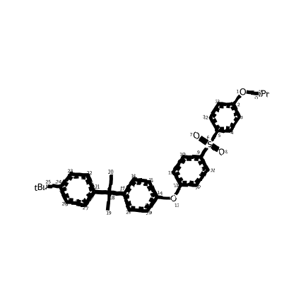 CC(C)Oc1ccc(S(=O)(=O)c2ccc(Oc3ccc(C(C)(C)c4ccc(C(C)(C)C)cc4)cc3)cc2)cc1